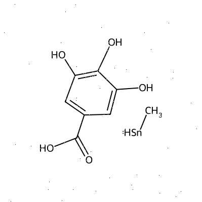 O=C(O)c1cc(O)c(O)c(O)c1.[CH3][SnH]